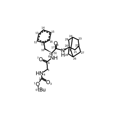 CC(C)(C)OC(=O)NCC(=O)N[C@@H](Cc1ccccc1)C(=O)NC12CC3CC(CC(C3)C1)C2